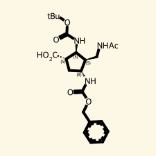 CC(=O)NC[C@@H]1[C@H](NC(=O)OC(C)(C)C)[C@@H](C(=O)O)C[C@H]1NC(=O)OCc1ccccc1